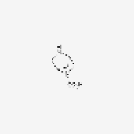 O=C(O)N1CC2CC1CN2